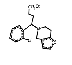 CCOC(=O)CCC(c1ccccc1Cl)N1CCc2sccc2C1